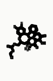 CN1C(=O)c2c(O)c(=O)ccn2N2C(c3ccccc3)c3cc(F)c(F)cc3OC(COC(=O)OCCl)C[C@@H]12